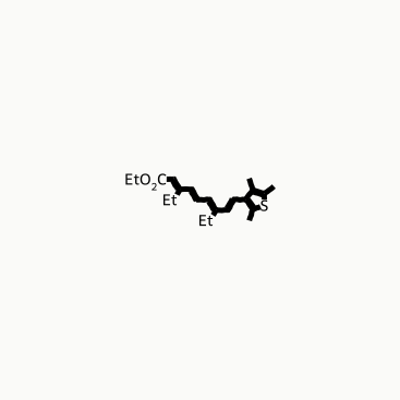 CCOC(=O)/C=C(/C=CC=C(C=Cc1c(C)sc(C)c1C)CC)CC